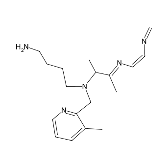 C=N/C=C\N=C(/C)C(C)N(CCCCN)Cc1ncccc1C